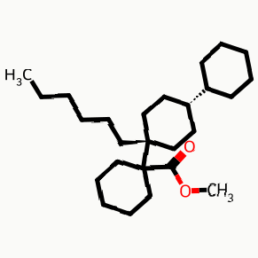 CCCCCC[C@]1(C2(C(=O)OC)CCCCC2)CC[C@@H](C2CCCCC2)CC1